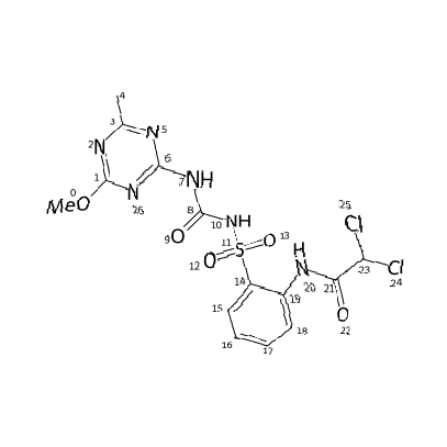 COc1nc(C)nc(NC(=O)NS(=O)(=O)c2ccccc2NC(=O)C(Cl)Cl)n1